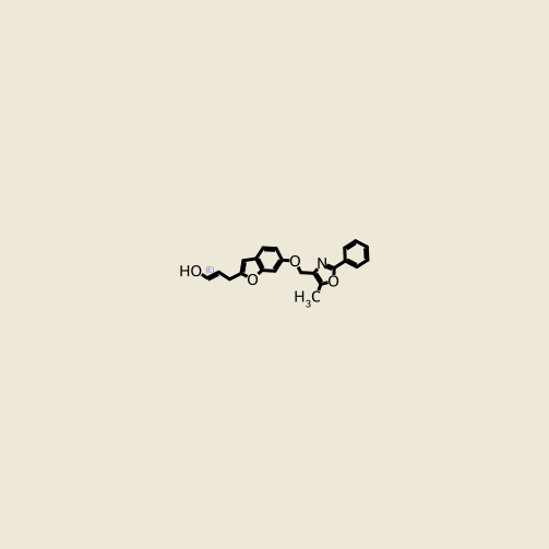 Cc1oc(-c2ccccc2)nc1COc1ccc2cc(C/C=C/O)oc2c1